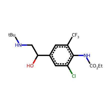 CCOC(=O)Nc1c(Cl)cc(C(O)CNC(C)(C)C)cc1C(F)(F)F